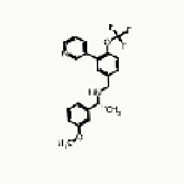 COc1cccc([C@@H](C)NCc2ccc(OC(F)(F)F)c(-c3cccnc3)c2)c1